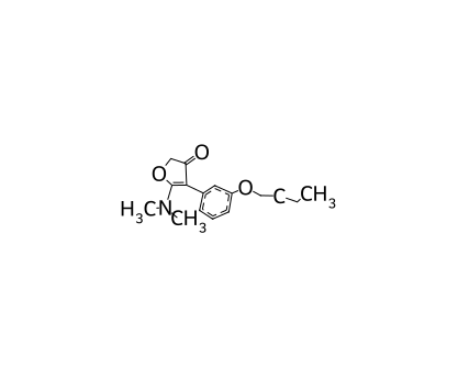 CCCCOc1cccc(C2=C(N(C)C)OCC2=O)c1